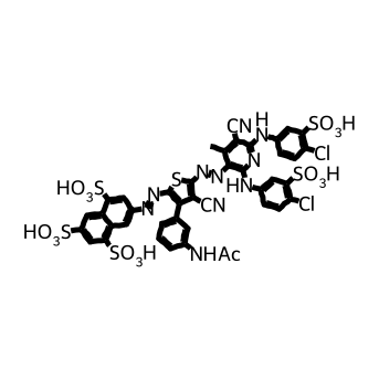 CC(=O)Nc1cccc(-c2c(/N=N/c3cc(S(=O)(=O)O)c4cc(S(=O)(=O)O)cc(S(=O)(=O)O)c4c3)sc(N=Nc3c(Nc4ccc(Cl)c(S(=O)(=O)O)c4)nc(Nc4ccc(Cl)c(S(=O)(=O)O)c4)c(C#N)c3C)c2C#N)c1